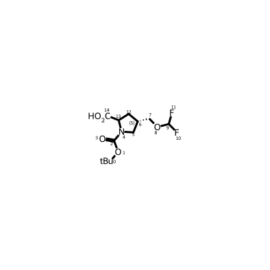 CC(C)(C)OC(=O)N1C[C@@H](COC(F)F)CC1C(=O)O